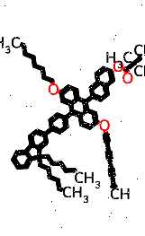 C#CC#CC#CC#COc1ccc2c(-c3ccc(-c4ccc5c(c4)C(CCCCCC)(CCCCCC)c4ccccc4-5)cc3)c3cc(OCCCCCCCC)ccc3c(-c3ccc4cc(OC(=O)C(C)(C)CC)ccc4c3)c2c1